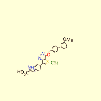 COc1cccc(-c2ccc(COc3ncnc4c(-c5ccc(C[C@H](N)C(=O)O)cc5)csc34)cc2)c1.Cl